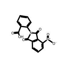 O=C(O)c1ccccc1N1C(=O)c2cccc([N+](=O)[O-])c2C1=O